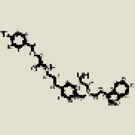 O=C(COCc1ccc(F)cc1)NCCCc1ccc(CN(CCO)CCc2coc3ccccc23)cc1